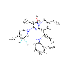 CO[C@H]1CCN(c2nc3c([C@@H](C)Nc4ccccc4C(=O)O)cc(C)cn3c(=O)c2C#N)CC1(F)F